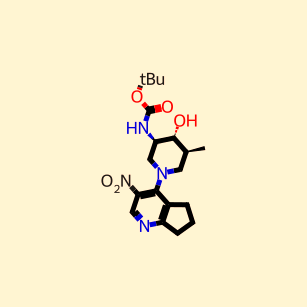 C[C@H]1CN(c2c([N+](=O)[O-])cnc3c2CCC3)C[C@@H](NC(=O)OC(C)(C)C)[C@@H]1O